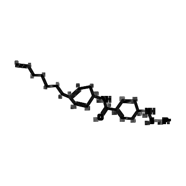 C=CCCCCCC1=CCC(NC(=O)C2=CCC(NSC(C)C)C=C2)C=C1